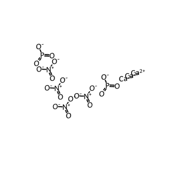 O=P(=O)[O-].O=P(=O)[O-].O=[N+]([O-])[O-].O=[N+]([O-])[O-].O=[N+]([O-])[O-].O=[N+]([O-])[O-].[Ca+2].[Ca+2].[Ca+2]